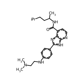 CC(C)CCC(C)NC(=O)c1ccnc2[nH]c(-c3ccc(NCCN(C)C)cc3)nc12